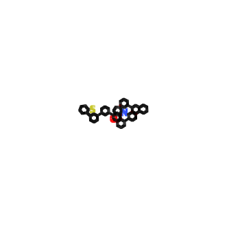 c1cc(-c2cccc(N(c3ccccc3-c3ccc4ccccc4c3)c3ccccc3-c3cccc4oc5ccccc5c34)c2)cc(-c2cccc3c2sc2ccccc23)c1